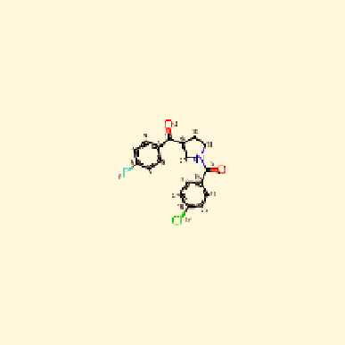 O=C(c1ccc(F)cc1)C1CCN(C(=O)c2ccc(Cl)cc2)C1